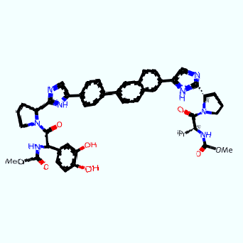 COC(=O)NC(C(=O)N1CCCC1c1ncc(-c2ccc(-c3ccc4cc(-c5cnc([C@@H]6CCCN6C(=O)[C@@H](NC(=O)OC)C(C)C)[nH]5)ccc4c3)cc2)[nH]1)c1ccc(O)c(O)c1